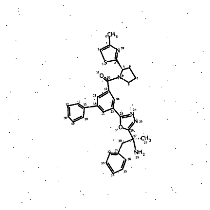 Cc1csc([C@H]2CCCN2C(=O)c2cc(-c3ccccc3)cc(-c3nnc([C@@](C)(N)Cc4ccccc4)o3)c2)n1